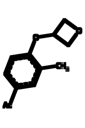 CC(=O)c1ccc(OC2COC2)c(C)c1